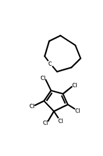 C1CCCCCCC1.ClC1=C(Cl)C(Cl)(Cl)C(Cl)=C1Cl